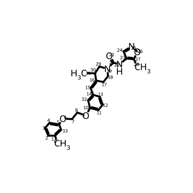 Cc1cccc(OCCOc2cccc(C=C3CCN(C(=O)Nc4cnoc4C)CC3C)c2)c1